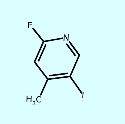 Cc1cc(F)ncc1I